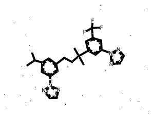 CC(C)c1cc(CCC(C)(C)c2cc(-n3nccn3)cc(C(F)(F)F)c2)cc(-n2nccn2)c1